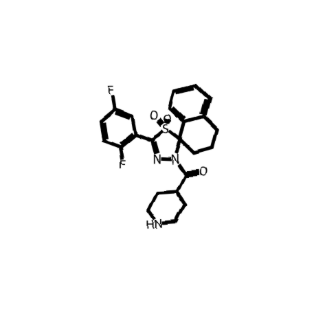 O=C(C1CCNCC1)N1N=C(c2cc(F)ccc2F)S(=O)(=O)C12CCCc1ccccc12